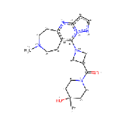 CC(C)C1(O)CCN(C(=O)C2CN(c3c4c(nc5ccnn35)CCN(C)CC4)C2)CC1